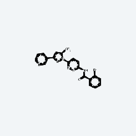 O=C(Nc1ccc(-n2nc(-c3cccnc3)cc2C(F)(F)F)nn1)c1ccccc1Br